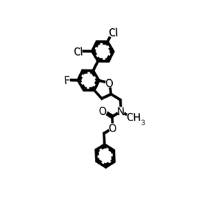 CN(CC1Cc2cc(F)cc(-c3ccc(Cl)cc3Cl)c2O1)C(=O)OCc1ccccc1